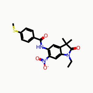 CCN1C(=O)C(C)(C)c2cc(NC(=O)c3ccc(SC)cc3)c([N+](=O)[O-])cc21